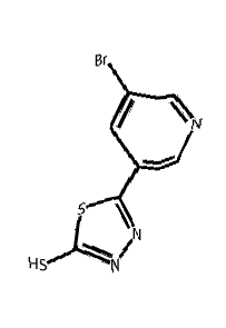 Sc1nnc(-c2cncc(Br)c2)s1